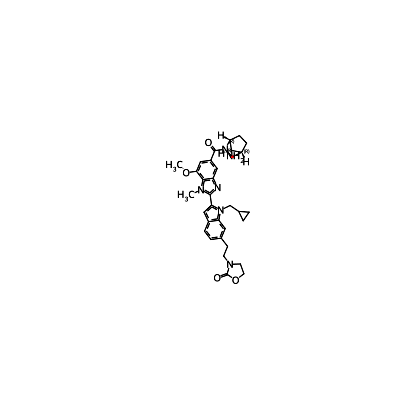 COc1cc(C(=O)N2C[C@H]3CC[C@@H]2[C@@H]3N)cc2nc(-c3cc4ccc(CCN5CCOC5=O)cc4n3CC3CC3)n(C)c12